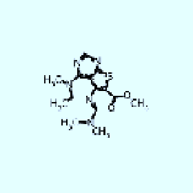 CCN(C)c1ncnc2sc(C(=O)OC)c(N=CN(C)C)c12